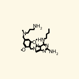 CCCCNc1nc(N)nc2cn(Cc3c(OC)cc(CN(C)CCCN)cc3OC)nc12